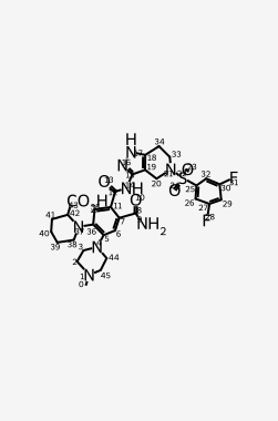 CN1CCN(c2cc(C(N)=O)c(C(=O)Nc3n[nH]c4c3CN(S(=O)(=O)c3cc(F)cc(F)c3)CC4)cc2N2CCCCC2C(=O)O)CC1